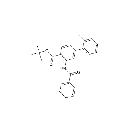 Cc1ccccc1-c1ccc(C(=O)OC(C)(C)C)c(NC(=O)c2ccccc2)c1